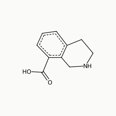 O=C(O)c1cccc2c1CNCC2